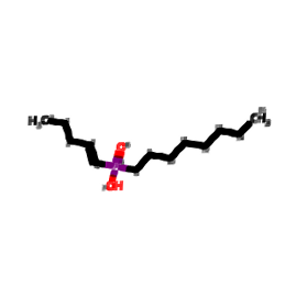 CCCC=CP(=O)(O)CCCCCCCC